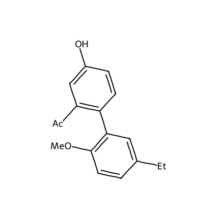 CCc1ccc(OC)c(-c2ccc(O)cc2C(C)=O)c1